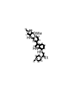 CC[C@H](CNc1cccc2c(-c3ccnc(Nc4cn(C)nc4OC)n3)c[nH]c12)N1CCN(C)CC1